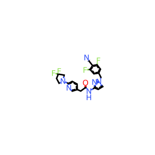 N#Cc1c(F)cc(Cn2ccc(NC(=O)Cc3ccc(N4CCC(F)(F)C4)nc3)n2)cc1F